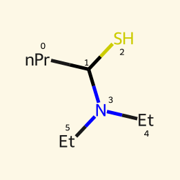 CCCC(S)N(CC)CC